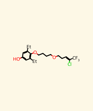 CCc1cc(O)cc(CC)c1OCCCCOCCC=C(Cl)C(F)(F)F